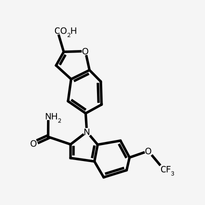 NC(=O)c1cc2ccc(OC(F)(F)F)cc2n1-c1ccc2oc(C(=O)O)cc2c1